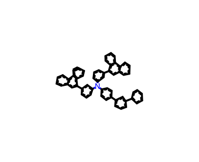 c1ccc2c(-c3cccc(N(c4ccc(-c5cccc(-c6ccccc6)c5)cc4)c4cccc(-c5cc6ccccc6c6ccccc56)c4)c3)cc3ccccc3c2c#1